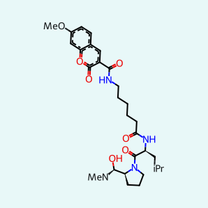 CN[C@@H](O)[C@@H]1CCCN1C(=O)[C@H](CC(C)C)NC(=O)CCCCCNC(=O)c1cc2ccc(OC)cc2oc1=O